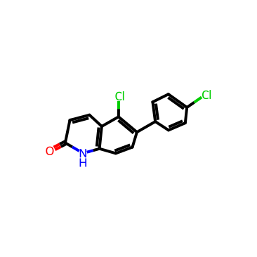 O=c1ccc2c(Cl)c(-c3ccc(Cl)cc3)ccc2[nH]1